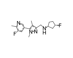 Cc1ncc(-c2c(C)c(CN[C@H]3CC[C@@H](F)C3)nn2C)cc1F